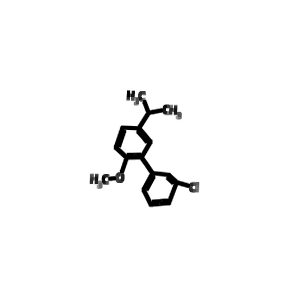 COc1ccc(C(C)C)cc1-c1cccc(Cl)c1